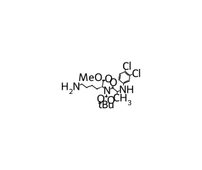 COC(=O)[C@H](CCCCN)N(C(=O)OC(C)(C)C)C(=O)[C@H](C)Nc1ccc(Cl)c(Cl)c1